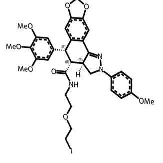 COc1ccc(N2C[C@@H]3C(=N2)c2cc4c(cc2[C@@H](c2cc(OC)c(OC)c(OC)c2)[C@H]3C(=O)NCCOCCI)OCO4)cc1